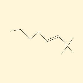 CCCCC=CC(C)(C)C